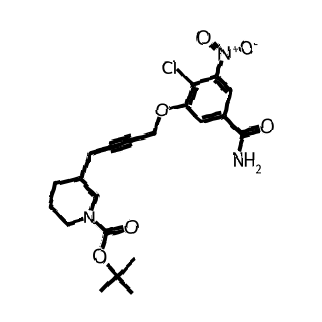 CC(C)(C)OC(=O)N1CCCC(CC#CCOc2cc(C(N)=O)cc([N+](=O)[O-])c2Cl)C1